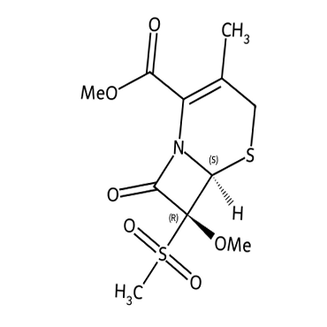 COC(=O)C1=C(C)CS[C@@H]2N1C(=O)[C@@]2(OC)S(C)(=O)=O